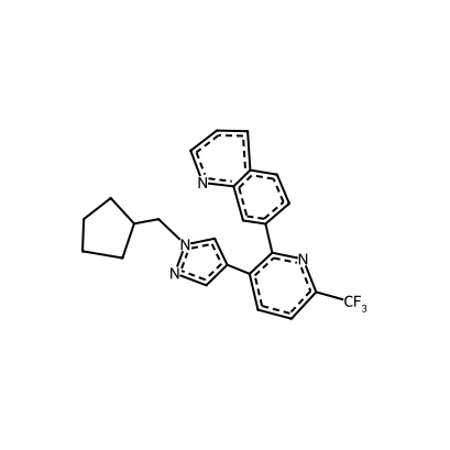 FC(F)(F)c1ccc(-c2cnn(CC3CCCC3)c2)c(-c2ccc3cccnc3c2)n1